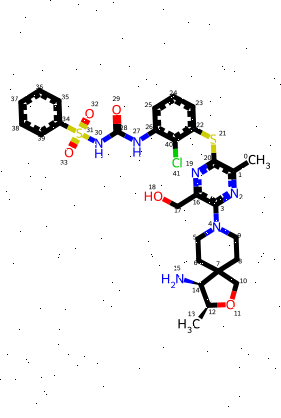 Cc1nc(N2CCC3(CC2)CO[C@@H](C)[C@H]3N)c(CO)nc1Sc1cccc(NC(=O)NS(=O)(=O)c2ccccc2)c1Cl